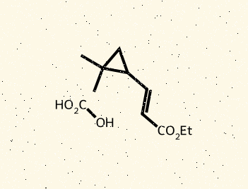 CCOC(=O)C=CC1CC1(C)C.O=C(O)O